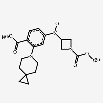 COC(=O)c1ccc([S+]([O-])C2CN(C(=O)OC(C)(C)C)C2)cc1N1CCC2(CC1)CC2